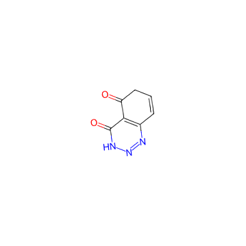 O=C1CC=Cc2nn[nH]c(=O)c21